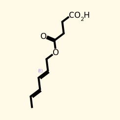 CC=C/C=C/COC(=O)CCC(=O)O